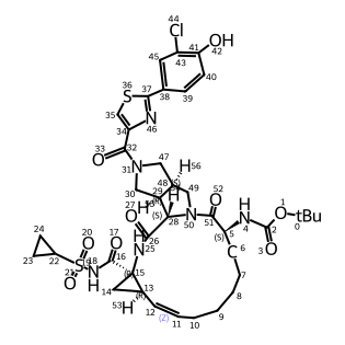 CC(C)(C)OC(=O)N[C@H]1CCCCC/C=C\[C@H]2C[C@@]2(C(=O)NS(=O)(=O)C2CC2)NC(=O)[C@@H]2[C@H]3CN(C(=O)c4csc(-c5ccc(O)c(Cl)c5)n4)C[C@H]3CN2C1=O